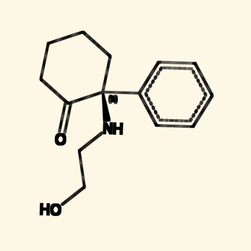 O=C1CCCC[C@]1(NCCO)c1ccccc1